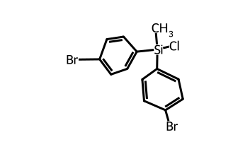 C[Si](Cl)(c1ccc(Br)cc1)c1ccc(Br)cc1